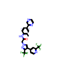 C/C=C(/C=C\C(=C/C)c1cnccn1)NC(=O)Cn1cc(-c2ccnc(C(F)(F)F)c2)c(C(F)(F)F)n1